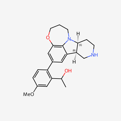 COc1ccc(-c2cc3c4c(c2)[C@@H]2CNCC[C@@H]2N4CCCO3)c(C(C)O)c1